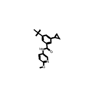 COc1ccc(NC(=O)c2cc(C3CC3)cc(C(C)(C)C)c2)cn1